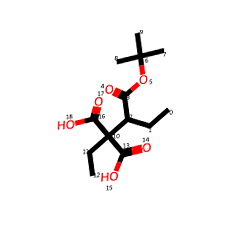 CCC(C(=O)OC(C)(C)C)C(CC)(C(=O)O)C(=O)O